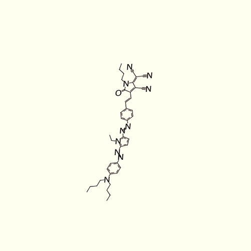 CCCCN1C(=O)C(/C=C/c2ccc(/N=N/c3ccc(/N=N/c4ccc(N(CCCC)CCCC)cc4)n3CC)cc2)=C(C#N)C1=C(C#N)C#N